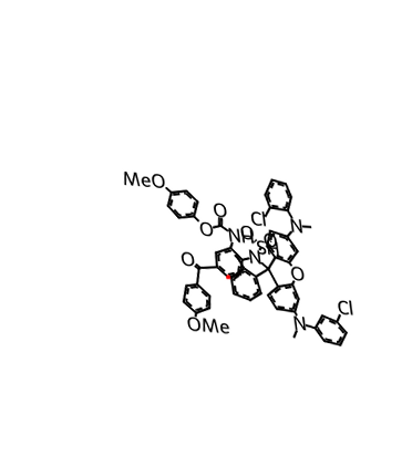 COc1ccc(OC(=O)Nc2cc(C(=O)c3ccc(OC)cc3)ccc2N([SH](=O)=O)C2(c3ccccc3C)c3ccc(N(C)c4cccc(Cl)c4)cc3Oc3cc(N(C)c4ccccc4Cl)ccc32)cc1